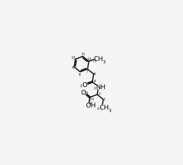 CCC(NC(=O)Cc1ccccc1C)C(=O)O